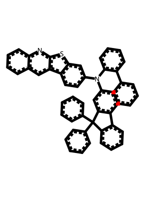 c1ccc(-c2ccccc2N(c2ccc3c(c2)C(c2ccccc2)(c2ccccc2)c2ccccc2-3)c2ccc3c(c2)sc2nc4ccccc4cc23)cc1